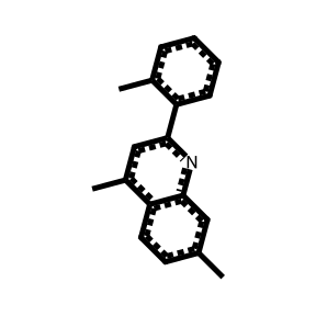 Cc1ccc2c(C)cc(-c3ccccc3C)nc2c1